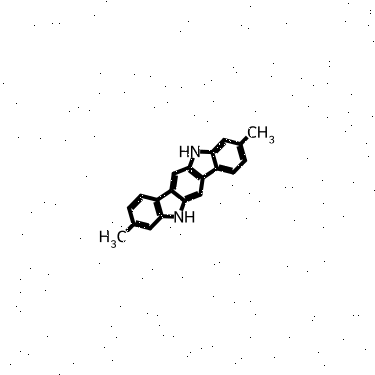 Cc1ccc2c(c1)[nH]c1cc3c(cc12)[nH]c1cc(C)ccc13